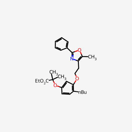 CCCCc1ccc(OC(C)(C)C(=O)OCC)cc1OCCc1nc(-c2ccccc2)oc1C